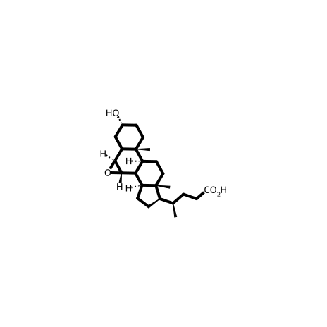 C[C@H](CCC(=O)O)[C@H]1CC[C@H]2C3[C@@H]4O[C@H]4C4C[C@H](O)CC[C@]4(C)[C@H]3CC[C@]12C